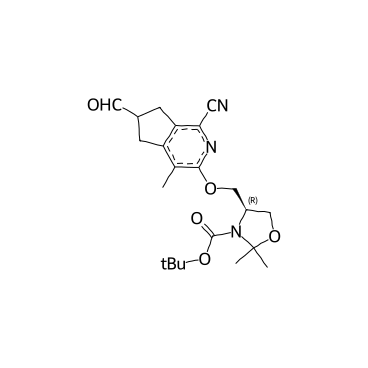 Cc1c(OC[C@H]2COC(C)(C)N2C(=O)OC(C)(C)C)nc(C#N)c2c1CC(C=O)C2